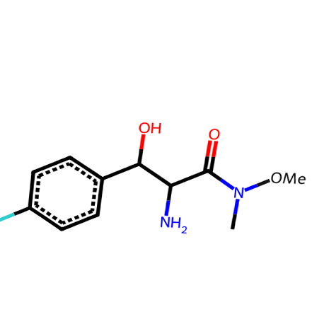 CON(C)C(=O)C(N)C(O)c1ccc(F)cc1